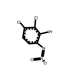 CC(C)c1c(N=S(=O)=O)ccc(Cl)c1Cl